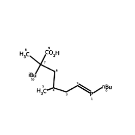 CCCCP=CCC(C)CC(C)(C(=O)O)C(C)CC